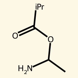 CC(N)OC(=O)C(C)C